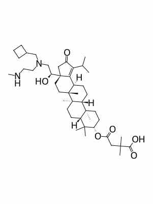 CNCCN(CC1CCC1)C[C@H](O)[C@@]12CC[C@]3(C)[C@H](CC[C@@H]4[C@@]5(C)CC[C@H](OC(=O)CC(C)(C)C(=O)O)C(C)(C)[C@@H]5CC[C@]43C)C1=C(C(C)C)C(=O)C2